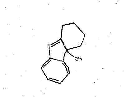 OC12CCCCC1=Nc1ccccc12